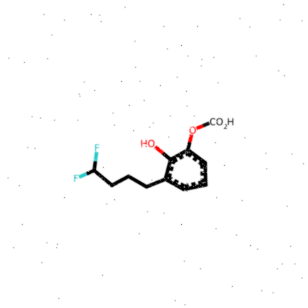 O=C(O)Oc1cccc(CCCC(F)F)c1O